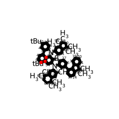 Cc1cc2c(cc1N1c3cc(-c4cccc5c4-c4ccccc4C5(C)C)ccc3B3c4cc5c(cc4N(c4ccc(C(C)(C)C)cc4-c4ccccc4)c4cc(C(C)(C)C)cc1c43)C(C)(C)CC5(C)C)C(C)(C)CCC2(C)C